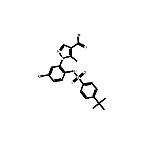 Cc1c(C(=O)O)cnn1-c1cc(Cl)ccc1NS(=O)(=O)c1ccc(C(C)(C)C)cc1